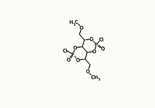 COCC1OP(=O)(Cl)OC2C(COC)OP(=O)(Cl)OC12